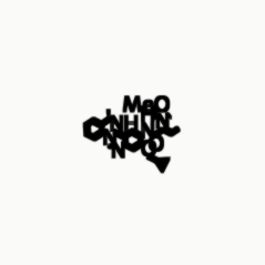 CC=C(C(=O)Nc1cc2c(N[C@H](C)c3ccccc3)ncnc2cc1OCC1CC1)N(C)CCOC